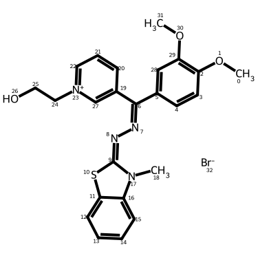 COc1ccc(/C(=N/N=c2/sc3ccccc3n2C)c2ccc[n+](CCO)c2)cc1OC.[Br-]